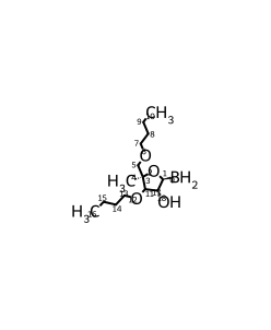 B[C@@H]1O[C@](C)(COCCCC)C(OCCCC)[C@@H]1O